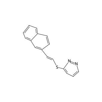 C(=C\c1ccc2ccccc2c1)/Sc1cccnn1